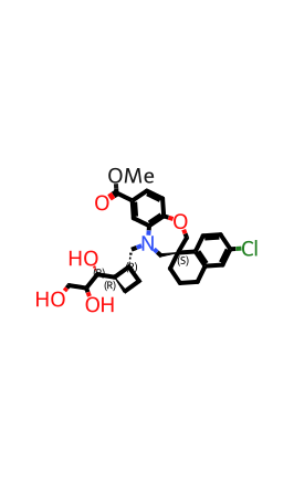 COC(=O)c1ccc2c(c1)N(C[C@@H]1CC[C@H]1[C@@H](O)C(O)CO)C[C@@]1(CCCc3cc(Cl)ccc31)CO2